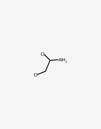 [AlH2][CH](Cl)CCl